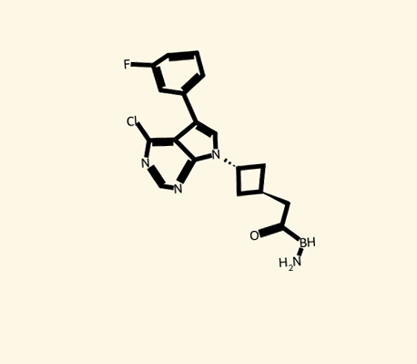 NBC(=O)C[C@H]1C[C@H](n2cc(-c3cccc(F)c3)c3c(Cl)ncnc32)C1